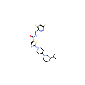 CC(C)[C@H]1CCCN(C2CCN(c3ncc(C(=O)NCc4ncc(F)cc4F)s3)CC2)C1